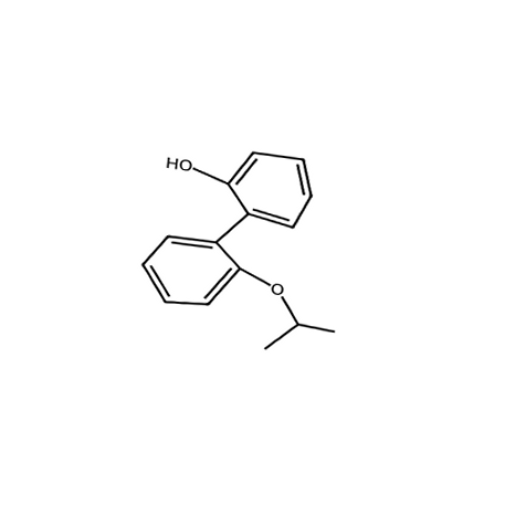 CC(C)Oc1ccccc1-c1ccccc1O